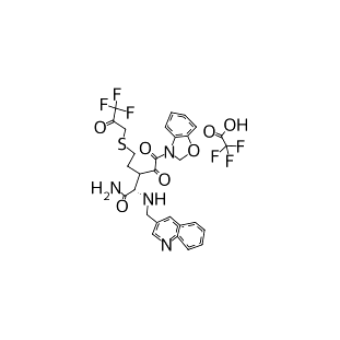 NC(=O)[C@@H](NCc1cnc2ccccc2c1)C(CCSCC(=O)C(F)(F)F)C(=O)C(=O)N1COc2ccccc21.O=C(O)C(F)(F)F